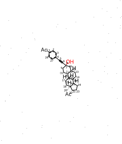 CC(=O)c1ccc(C#C[C@@]2(O)CC[C@H]3[C@H](CC[C@@H]4[C@@H]3CC[C@]3(C)[C@@H](C(C)=O)CC[C@@H]43)C2)cc1